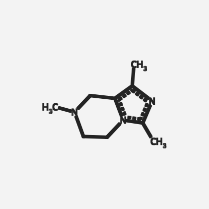 Cc1nc(C)n2c1CN(C)CC2